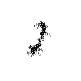 CCc1c2c(nc3ccc(OCC(=O)NCCn4ccc5cc(N(C(=N)c6cc(C(C)C)c(O)cc6O)C(N)=O)ccc54)cc13)-c1cc3c(c(=O)n1C2)COC(=O)C3(O)CC